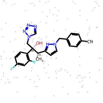 C[C@@H](c1ccn(Cc2ccc(C#N)cc2)n1)[C@](O)(Cn1cnnn1)c1ccc(F)cc1F